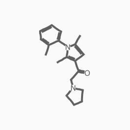 Cc1ccccc1-n1c(C)cc(C(=O)CN2CCCC2)c1C